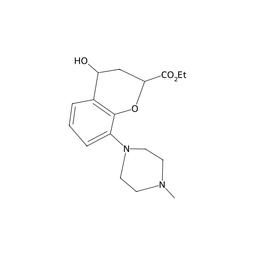 CCOC(=O)C1CC(O)c2cccc(N3CCN(C)CC3)c2O1